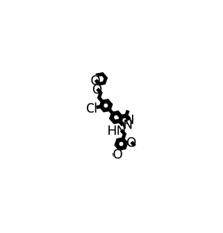 COc1ccc(CNc2nnc(C)c3cc(-c4ccc(CCOC5CCCCO5)c(Cl)c4)ccc23)c(OC)c1